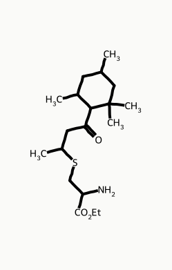 CCOC(=O)C(N)CSC(C)CC(=O)C1C(C)CC(C)CC1(C)C